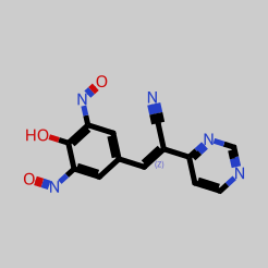 N#C/C(=C\c1cc(N=O)c(O)c(N=O)c1)c1ccncn1